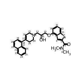 CN(C)C(=O)c1cc2c(OC[C@@H](O)CN3CC=C(c4cccc5ccccc45)CC3)cccc2s1